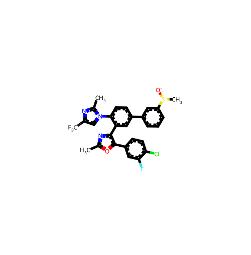 Cc1nc(-c2cc(-c3cccc([S+](C)[O-])c3)ccc2-n2cc(C(F)(F)F)nc2C)c(-c2ccc(Cl)c(F)c2)o1